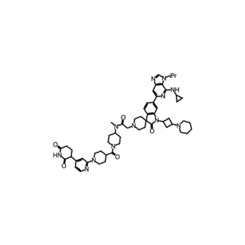 CC(C)n1cnc2cc(-c3ccc4c(c3)N(C3CC(N5CCCCC5)C3)C(=O)C43CCN(CC(=O)N(C)C4CCN(C(=O)C5CCN(c6cc(C7CCC(=O)NC7=O)ccn6)CC5)CC4)CC3)nc(NC3CC3)c21